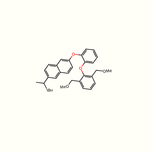 COCc1cccc(COC)c1Oc1ccccc1Oc1ccc2cc(C(C)C(C)(C)C)ccc2c1